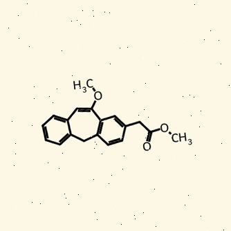 COC(=O)Cc1ccc2c(c1)C(OC)=Cc1ccccc1C2